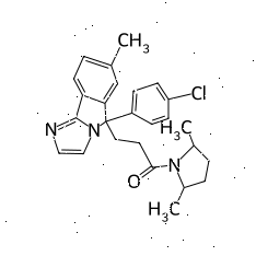 Cc1ccc2c(c1)C(CCC(=O)N1C(C)CCC1C)(c1ccc(Cl)cc1)n1ccnc1-2